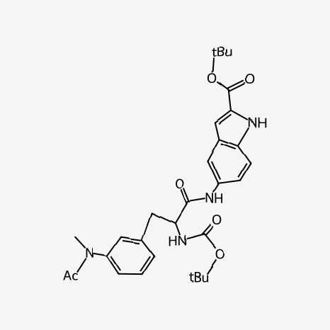 CC(=O)N(C)c1cccc(CC(NC(=O)OC(C)(C)C)C(=O)Nc2ccc3[nH]c(C(=O)OC(C)(C)C)cc3c2)c1